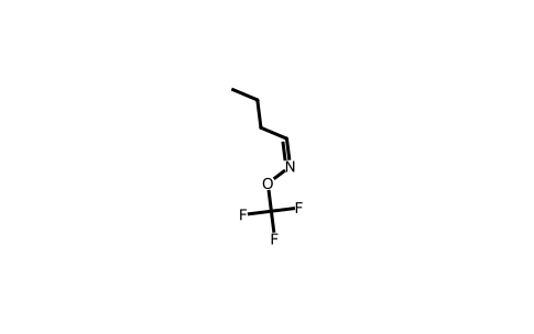 CCC/C=N\OC(F)(F)F